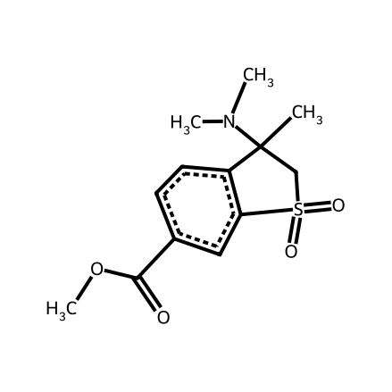 COC(=O)c1ccc2c(c1)S(=O)(=O)CC2(C)N(C)C